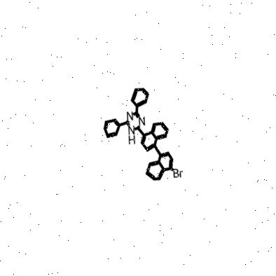 Brc1ccc(-c2ccc(C3N=C(c4ccccc4)N=C(c4ccccc4)N3)c3ccccc23)c2ccccc12